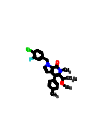 Cc1ccc(-c2c(C(OC(C)(C)C)C(=O)O)n(C)c(=O)c3c2ccn3Cc2ccc(Cl)c(F)c2)cc1